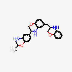 CC1CNc2cc(C3COc4ccc(CC5COc6ccccc6N5)cc4N3)ccc2O1